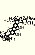 COC1C(C)OC(OC2CC(C)(O)C(C(=O)O)c3cc4c(c(O)c32)C(=O)c2c(O)cc3c(c2C4=O)OC2OC3(C)C(O)C(N(C)C)C2O)C(OC)C1(C)OC